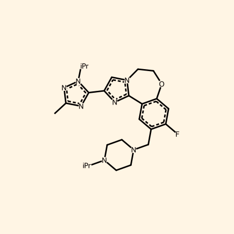 Cc1nc(-c2cn3c(n2)-c2cc(CN4CCN(C(C)C)CC4)c(F)cc2OCC3)n(C(C)C)n1